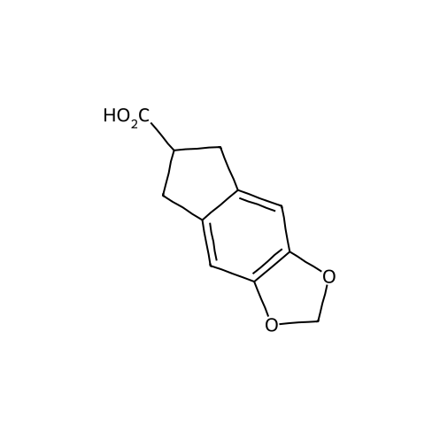 O=C(O)C1Cc2cc3c(cc2C1)OCO3